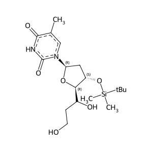 Cc1cn([C@H]2C[C@H](O[Si](C)(C)C(C)(C)C)[C@@H](C(O)CCO)O2)c(=O)[nH]c1=O